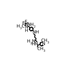 CCC(NCC(N)CCCCNc1ccc(C(N)NC(C)C(F)(F)F)cc1)c1ccnc(C)c1